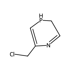 ClCC1=CPCC=N1